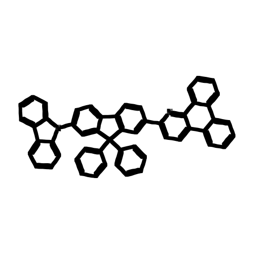 c1ccc(C2(c3ccccc3)c3cc(-c4ccc5c6ccccc6c6ccccc6c5n4)ccc3-c3ccc(-n4c5ccccc5c5ccccc54)cc32)cc1